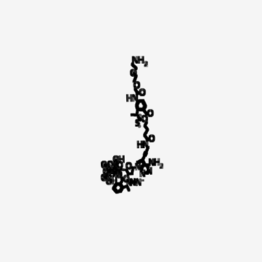 CSSC(C)c1cc(NC(=O)COCCOCCN)ccc1C(=O)OCCCCC(=O)NCC#Cc1cn([C@H]2CC(OC(=O)c3ccccc3C(C)N=[N+]=[N-])[C@@H](COP(=O)(O)OP(=O)(O)OP(=O)(O)O)O2)c2ncnc(N)c12